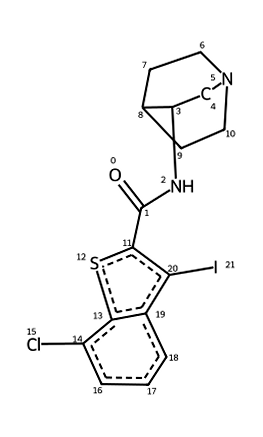 O=C(NC1CN2CCC1CC2)c1sc2c(Cl)cccc2c1I